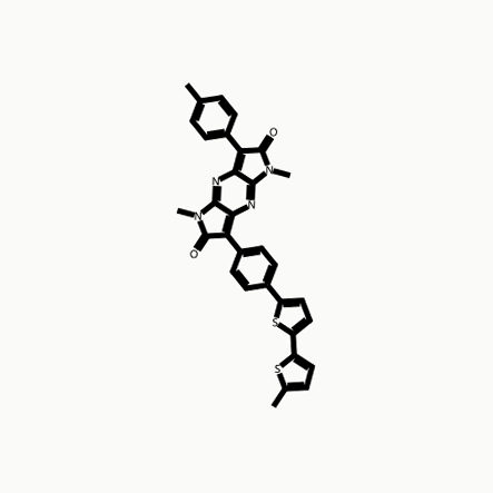 Cc1ccc(C2=c3nc4c(nc3N(C)C2=O)=C(c2ccc(-c3ccc(-c5ccc(C)s5)s3)cc2)C(=O)N4C)cc1